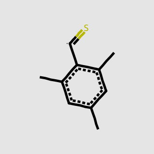 Cc1cc(C)c([C]=S)c(C)c1